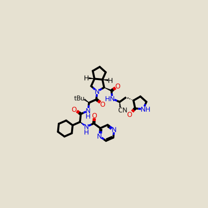 CC(C)(C)[C@H](NC(=O)[C@@H](NC(=O)c1cnccn1)C1CCCCC1)C(=O)N1C[C@@H]2CCC[C@@H]2[C@H]1C(=O)N[C@H](C#N)C[C@@H]1CCNC1=O